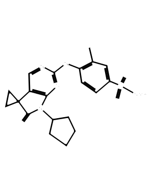 CNS(=O)(=O)c1ccc(Nc2ncc3c(n2)N(C2CCCC2)C(=O)C32CC2)c(C)c1